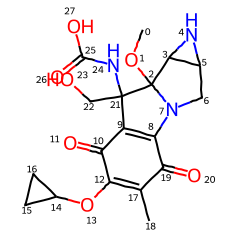 COC12C3NC3CN1C1=C(C(=O)C(OC3CC3)=C(C)C1=O)C2(CO)NC(=O)O